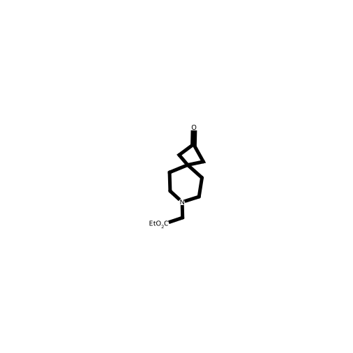 CCOC(=O)CN1CCC2(CC1)CC(=O)C2